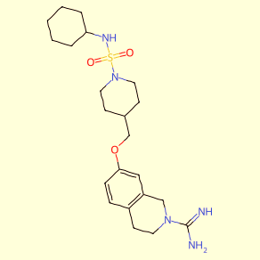 N=C(N)N1CCc2ccc(OCC3CCN(S(=O)(=O)NC4CCCCC4)CC3)cc2C1